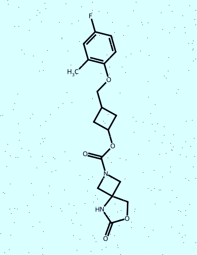 Cc1cc(F)ccc1OCC1CC(OC(=O)N2CC3(COC(=O)N3)C2)C1